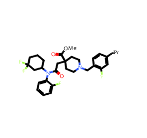 COC(=O)C1(CC(=O)N(c2ccccc2F)C2CCCC(F)(F)C2)CCN(Cc2ccc(C(C)C)cc2F)CC1